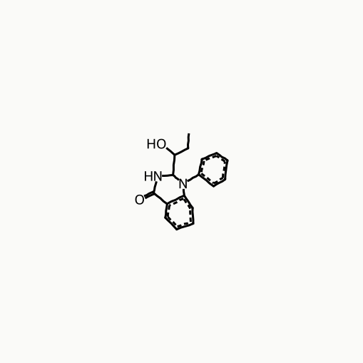 CCC(O)C1NC(=O)c2ccccc2N1c1ccccc1